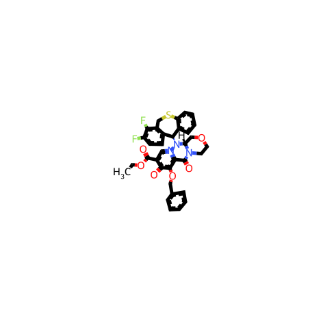 CCOC(=O)c1cn2c(c(OCc3ccccc3)c1=O)C(=O)N1CCOC[C@H]1N2[C@H]1c2ccccc2SCc2c1ccc(F)c2F